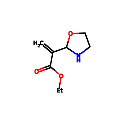 C=C(C(=O)OCC)C1NCCO1